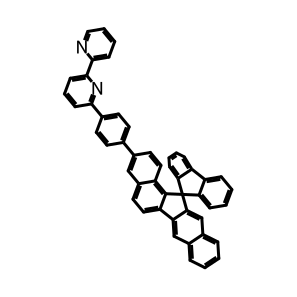 c1ccc(-c2cccc(-c3ccc(-c4ccc5c6c(ccc5c4)-c4cc5ccccc5cc4C64c5ccccc5-c5ccccc54)cc3)n2)nc1